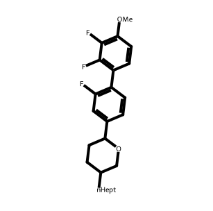 CCCCCCCC1CCC(c2ccc(-c3ccc(OC)c(F)c3F)c(F)c2)OC1